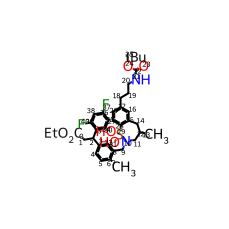 CCOC(=O)CC(c1ccc(C)c(CN2CC(C)Cc3cc(CCCNC(=O)OC(C)(C)C)ccc3S2(O)O)c1)c1ccc(F)cc1F